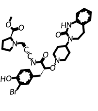 COC(=O)[C@@H]1CCCN1C=C=C=NC(=O)[C@@H](Cc1ccc(O)c(Br)c1)ON1CCC(N2CCc3ccccc3NC2=O)CC1